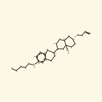 C=CCC[C@@H]1CC[C@@H]2CC(C3CCc4cc(OCCCCC)ccc4C3)CCC2C1